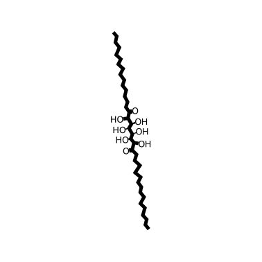 CCCCCCCCCCCCCCCC(=O)C(O)[C@@H](O)[C@@H](O)[C@H](O)[C@H](O)C(O)C(=O)CCCCCCCCCCCCCCC